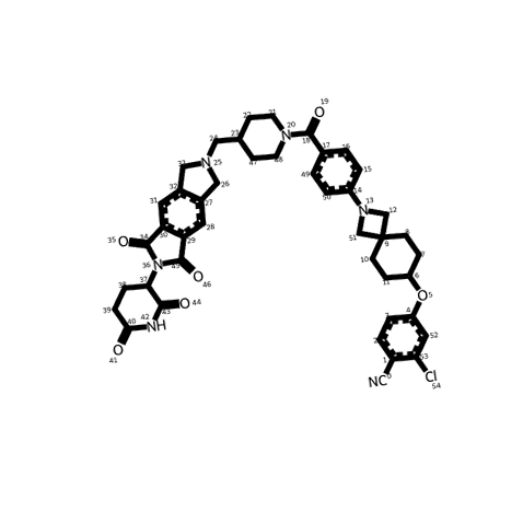 N#Cc1ccc(OC2CCC3(CC2)CN(c2ccc(C(=O)N4CCC(CN5Cc6cc7c(cc6C5)C(=O)N(C5CCC(=O)NC5=O)C7=O)CC4)cc2)C3)cc1Cl